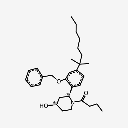 CCCCCCC(C)(C)c1ccc([C@@H]2C[C@H](O)CCN2C(=O)CCC)c(OCc2ccccc2)c1